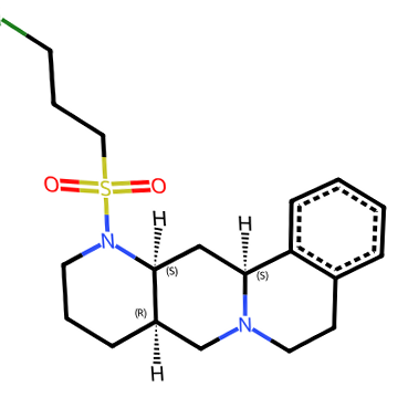 O=S(=O)(CCCCl)N1CCC[C@@H]2CN3CCc4ccccc4[C@@H]3C[C@@H]21